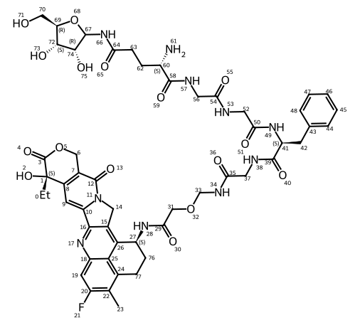 CC[C@@]1(O)C(=O)OCc2c1cc1n(c2=O)Cc2c-1nc1cc(F)c(C)c3c1c2[C@@H](NC(=O)COCNC(=O)CNC(=O)[C@H](Cc1ccccc1)NC(=O)CNC(=O)CNC(=O)[C@@H](N)CCC(=O)NC1O[C@H](CO)[C@@H](O)[C@H]1O)CC3